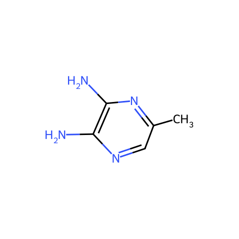 Cc1cnc(N)c(N)n1